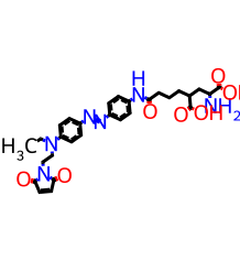 CCN(CCN1C(=O)C=CC1=O)c1ccc(/N=N/c2ccc(NC(=O)CCCC(CC(N)C(=O)O)C(=O)O)cc2)cc1